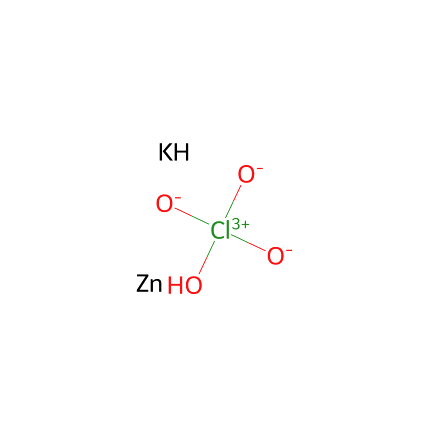 [KH].[O-][Cl+3]([O-])([O-])O.[Zn]